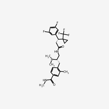 CNC(=O)c1ccc(C[C@@H](CNC(=O)C[C@H](c2cc(F)cc(F)c2)C2(C(F)(F)F)CC2)N(C)C)c(C)c1